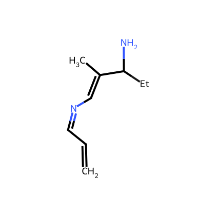 C=C/C=N\C=C(/C)C(N)CC